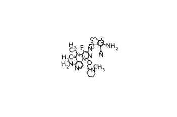 CCN(c1nc(OC[C@@H]2CCCCN2C)nc(N2CC3(C2)SCc2sc(N)c(C#N)c23)c1F)[C@H](C)c1cccnc1N